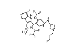 C[C@@H]1Cc2c([nH]c3c(F)cccc23)C(c2cnc(NC3CCN(CCCF)C3)cc2OC(F)F)N1C(F)C(F)F